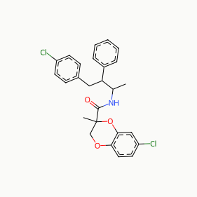 CC(NC(=O)C1(C)COc2ccc(Cl)cc2O1)C(Cc1ccc(Cl)cc1)c1ccccc1